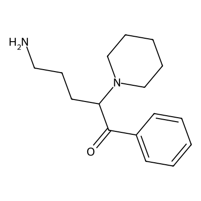 NCCCC(C(=O)c1ccccc1)N1CCCCC1